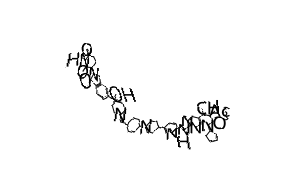 CC(=O)c1c(C)c2cnc(Nc3ccc(C4CCN(C5CCC(CN6CCC(O)(c7ccc8c(c7)CN(C7CCC(=O)NC7=O)C8=O)CC6)CC5)CC4)cn3)nc2n(C2CCCC2)c1=O